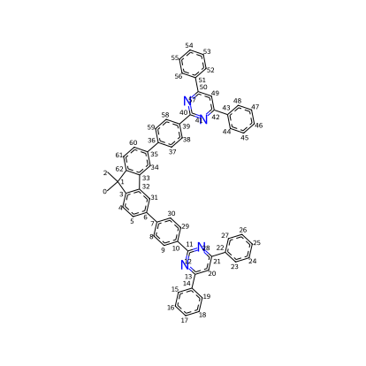 CC1(C)c2ccc(-c3ccc(-c4nc(-c5ccccc5)cc(-c5ccccc5)n4)cc3)cc2-c2cc(-c3ccc(-c4nc(-c5ccccc5)cc(-c5ccccc5)n4)cc3)ccc21